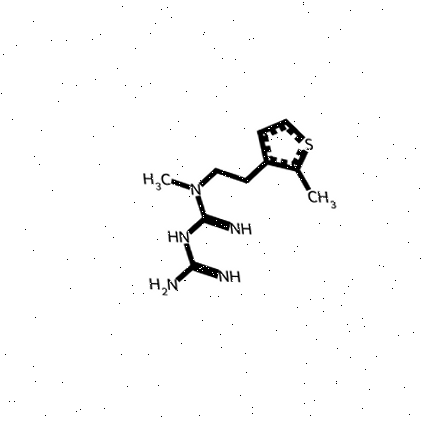 Cc1sccc1CCN(C)C(=N)NC(=N)N